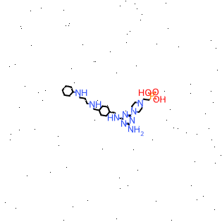 Nc1nc(NCC2CCC(CNCCCNC3CCCCC3)CC2)nc(N2CCN(CCP(=O)(O)O)CC2)n1